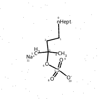 CCCCCCCCCC(C)(C)OS(=O)(=O)[O-].[Na+]